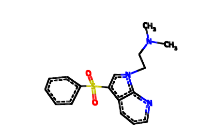 CN(C)CCn1cc(S(=O)(=O)c2ccccc2)c2cccnc21